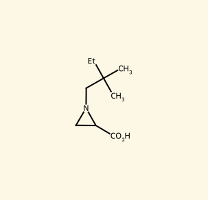 CCC(C)(C)CN1CC1C(=O)O